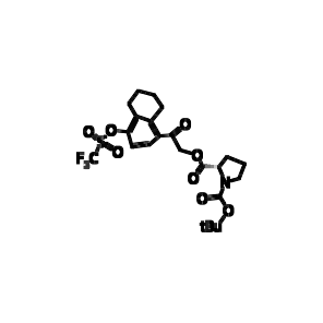 CC(C)(C)OC(=O)N1CCC[C@H]1C(=O)OCC(=O)c1ccc(OS(=O)(=O)C(F)(F)F)c2c1CCCC2